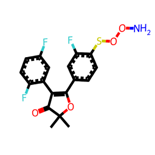 CC1(C)OC(c2ccc(SOON)c(F)c2)=C(c2cc(F)ccc2F)C1=O